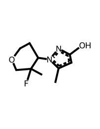 Cc1cc(O)nn1C1CCOCC1(C)F